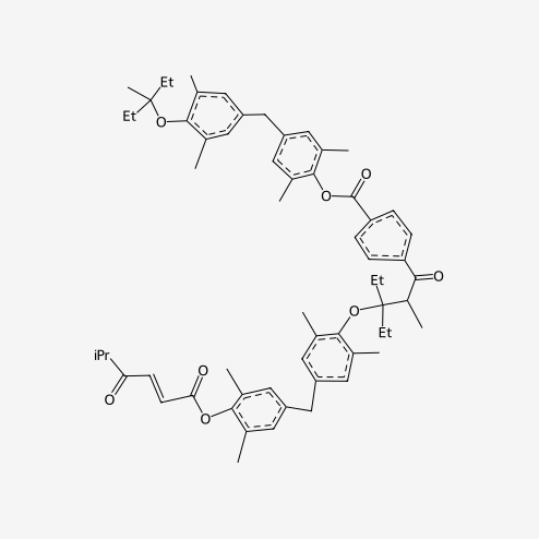 CCC(C)(CC)Oc1c(C)cc(Cc2cc(C)c(OC(=O)c3ccc(C(=O)C(C)C(CC)(CC)Oc4c(C)cc(Cc5cc(C)c(OC(=O)C=CC(=O)C(C)C)c(C)c5)cc4C)cc3)c(C)c2)cc1C